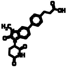 Cn1c(=O)n(C2CCC(=O)NC2=O)c2ccc(-c3ccc(CCC(=O)O)cc3)cc21